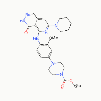 COc1cc(N2CCN(C(=O)OC(C)(C)C)CC2)ccc1Nc1nc(N2CCCCC2)cc2cn[nH]c(=O)c12